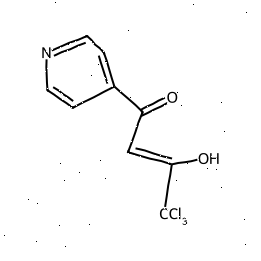 O=C(/C=C(\O)C(Cl)(Cl)Cl)c1ccncc1